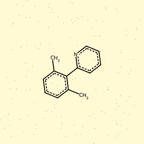 Cc1cccc(C)c1-c1cc[c]cn1